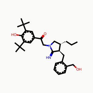 CCC[C@H]1CN(CC(=O)c2cc(C(C)(C)C)c(O)c(C(C)(C)C)c2)C(=N)[C@@H]1Cc1ccccc1CO